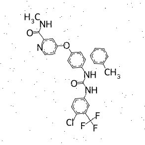 CNC(=O)c1cc(Oc2ccc(NC(=O)Nc3ccc(Cl)c(C(F)(F)F)c3)cc2)ccn1.Cc1ccccc1